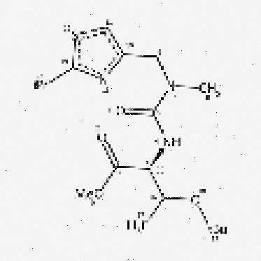 COC(=O)[C@@H](NC(=O)N(C)Cc1csc(C(C)C)n1)C(C)OC(C)(C)C